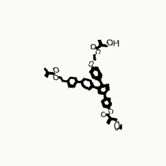 C=C(C)C(=O)OCCC1CCC(C2CCC(c3cc(-c4ccc(OC(=O)C(=C)COC)cc4)ccc3-c3ccc(OCCOC(=O)C(=C)CO)cc3)CC2)CC1